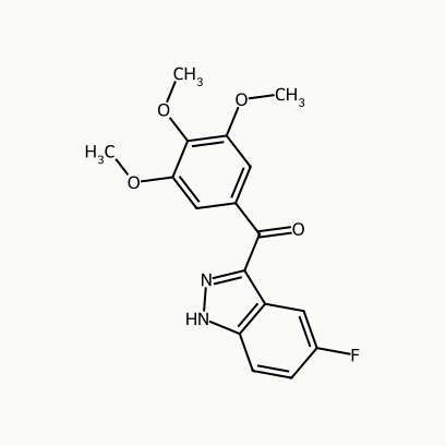 COc1cc(C(=O)c2n[nH]c3ccc(F)cc23)cc(OC)c1OC